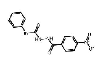 O=C(NNC(=O)c1ccc([N+](=O)[O-])cc1)Nc1ccccc1